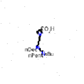 CCCCCCCCCCN(CCCCCC[n+]1cccc(C(=O)O)c1)CCCN(CCCC)CCCCC